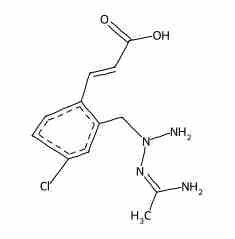 C/C(N)=N/N(N)Cc1cc(Cl)ccc1/C=C/C(=O)O